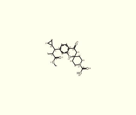 COC(=O)C(C)C(c1ccc2c(c1)OC1(CCN(C(=O)O)CC1)CC2=O)C1CC1